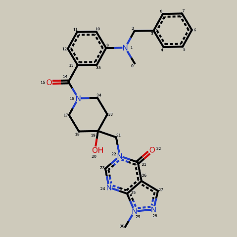 CN(Cc1ccccc1)c1cccc(C(=O)N2CCC(O)(Cn3cnc4c(cnn4C)c3=O)CC2)c1